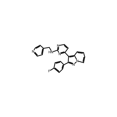 Fc1ccc(-c2nn3ccccc3c2-c2ccnc(NCc3ccncc3)n2)cc1